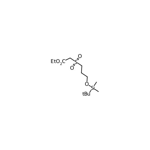 CCOC(=O)CS(=O)(=O)CCCO[Si](C)(C)C(C)(C)C